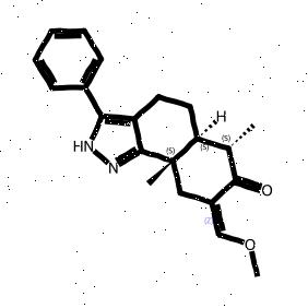 CO/C=C1/C[C@]2(C)c3n[nH]c(-c4ccccc4)c3CC[C@H]2[C@H](C)C1=O